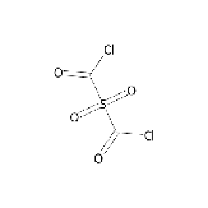 O=C(Cl)S(=O)(=O)C(=O)Cl